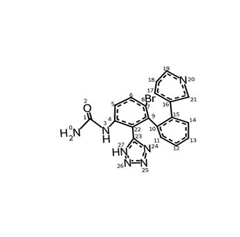 NC(=O)Nc1ccc(Br)c(-c2ccccc2-c2cccnc2)c1-c1nnn[nH]1